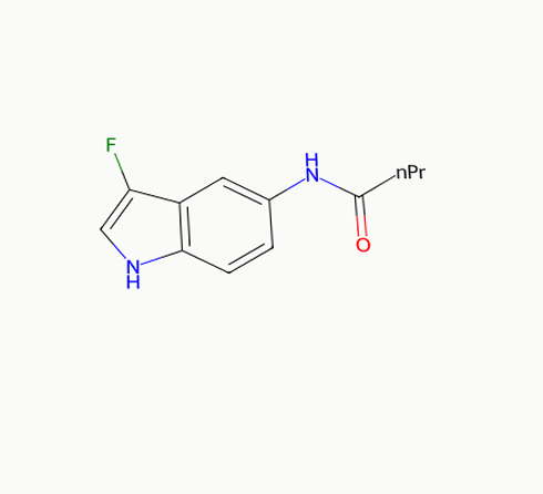 CCCC(=O)Nc1ccc2[nH]cc(F)c2c1